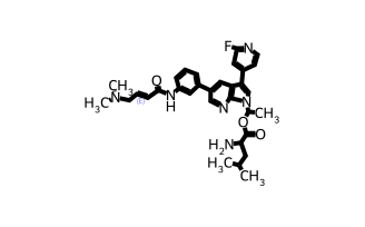 CC(C)CC(N)C(=O)OC(C)n1cc(-c2ccnc(F)c2)c2cc(-c3cccc(NC(=O)/C=C/CN(C)C)c3)cnc21